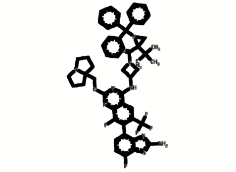 CC(C)(C)C1(C(=O)N2CC(Nc3nc(OCC45CCCN4CCC5)nc4c(F)c(-c5ccc(F)c6sc(N)nc56)c(C(F)(F)F)cc34)C2)CN1C(c1ccccc1)(c1ccccc1)c1ccccc1